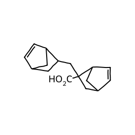 O=C(O)C1(CC2CC3C=CC2C3)CC2C=CC1C2